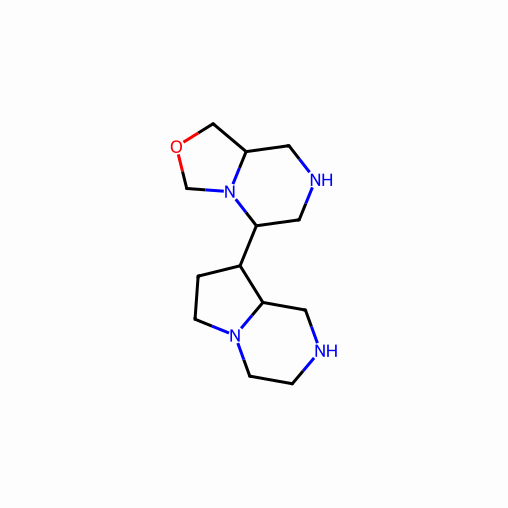 C1CN2CCC(C3CNCC4COCN43)C2CN1